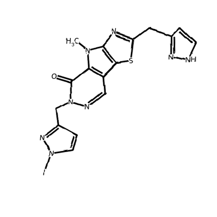 Cn1c2nc(Cc3cc[nH]n3)sc2c2cnn(Cc3ccn(I)n3)c(=O)c21